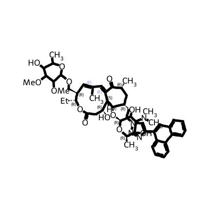 CC[C@H]1OC(=O)C[C@@H](O)[C@@H]2/C(=C\C(C)=C\[C@@H]1COC1OC(C)C(O)C(OC)C1OC)C(=O)[C@H](C)C[C@H](CCn1cc(-c3cc4ccccc4c4ccccc34)nn1)[C@@H]2O[C@@H]1O[C@H](C)C(O)C(N(C)C)C1O